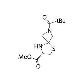 COC(=O)[C@@H]1CSC2(CN(C(=O)C(C)(C)C)C2)N1